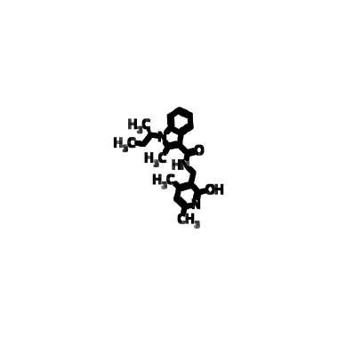 CC[C@H](C)n1c(C)c(C(=O)NCc2c(C)cc(C)nc2O)c2ccccc21